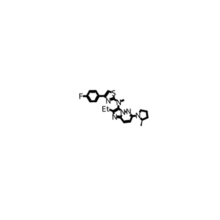 CCc1nc2ccc(N3CCC[C@H]3C)nn2c1N(C)c1nc(-c2ccc(F)cc2)cs1